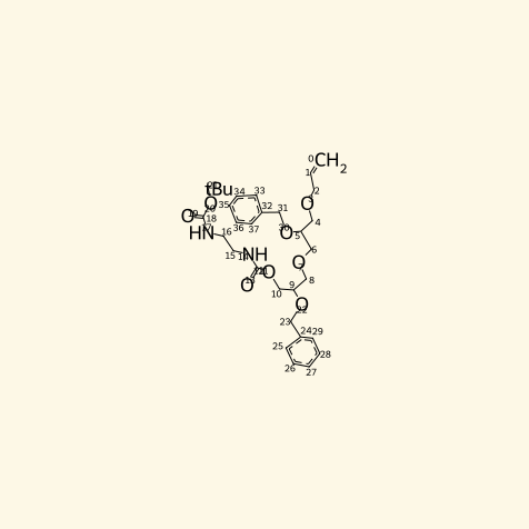 C=CCOCC(COCC(COC(=O)NCCNC(=O)OC(C)(C)C)OCc1ccccc1)OCc1ccccc1